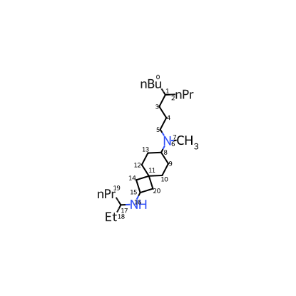 CCCCC(CCC)CCCN(C)C1CCC2(CC1)CC(NC(CC)CCC)C2